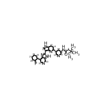 CC(C)(C)CC(=O)Nc1cncc(-c2ccc3[nH]nc(-c4nc5c(-c6ccccc6F)cncc5[nH]4)c3n2)c1